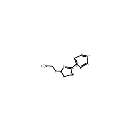 NCCC1CNC(c2ccncc2)=N1